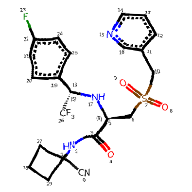 N#CC1(NC(=O)[C@H](CS(=O)(=O)Cc2cccnc2)N[C@@H](c2ccc(F)cc2)C(F)(F)F)CCC1